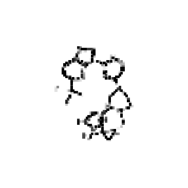 CC1(C)C[C@H]1CN1CCN(c2ccnc(-c3cnc4ccc(C(F)(F)F)cn34)n2)C[C@@H]1c1cn[nH]c1